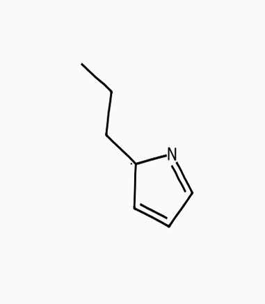 CCC[C]1C=CC=N1